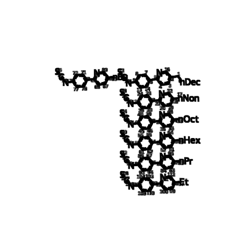 CCCCCCCCCCCc1ccc(-c2ccc(N=C=S)cc2)nc1.CCCCCCCCCc1ccc(-c2ccc(N=C=S)cc2)nc1.CCCCCCCCc1ccc(-c2ccc(N=C=S)cc2)nc1.CCCCCCc1ccc(-c2ccc(N=C=S)cc2)nc1.CCCCc1ccc(-c2ccc(N=C=S)cc2)nc1.CCCc1ccc(-c2ccc(N=C=S)cc2)nc1.CCc1ccc(-c2ccc(N=C=S)cc2)nc1